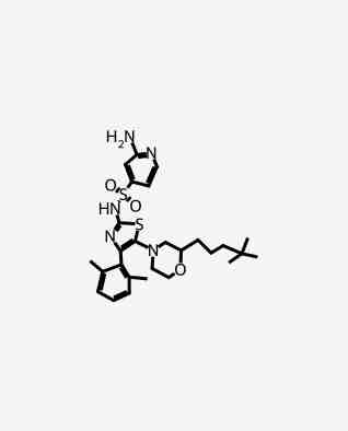 Cc1cccc(C)c1-c1nc(NS(=O)(=O)c2ccnc(N)c2)sc1N1CCOC(CCCC(C)(C)C)C1